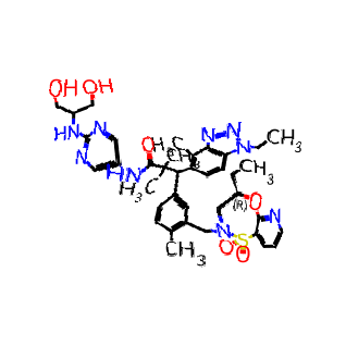 CC[C@@H]1CN(Cc2cc(C(c3ccc4c(nnn4CC)c3C)C(C)(C)C(=O)Nc3cnc(NC(CO)CO)nc3)ccc2C)S(=O)(=O)c2cccnc2O1